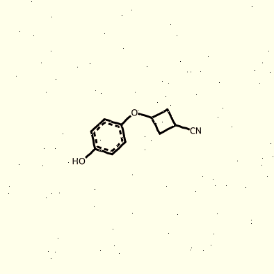 N#CC1CC(Oc2ccc(O)cc2)C1